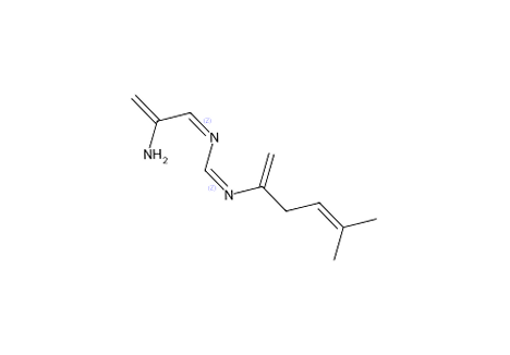 C=C(N)/C=N\C=N/C(=C)CC=C(C)C